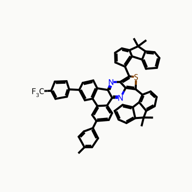 Cc1ccc(-c2ccc3c(c2)c2cc(-c4ccc(C(F)(F)F)cc4)ccc2c2nc4c(-c5cccc6c5-c5ccccc5C6(C)C)sc(-c5cccc6c5-c5ccccc5C6(C)C)c4nc32)cc1